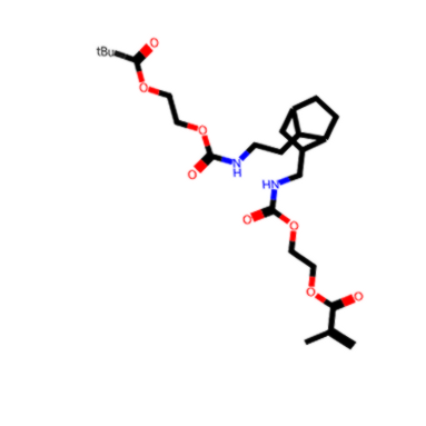 C=C(C)C(=O)OCCOC(=O)NCC1CC2CCC1C2CCNC(=O)OCCOC(=O)C(C)(C)C